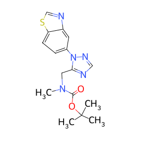 CN(Cc1ncnn1-c1ccc2scnc2c1)C(=O)OC(C)(C)C